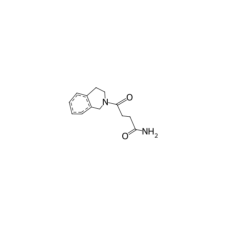 NC(=O)CCC(=O)N1CCc2ccccc2C1